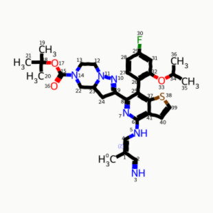 C/C(C=N)=C/Nc1nc(C2=NN3CCN(C(=O)OC(C)(C)C)CC3C2)c(-c2ccc(F)cc2OC(C)C)c2sccc12